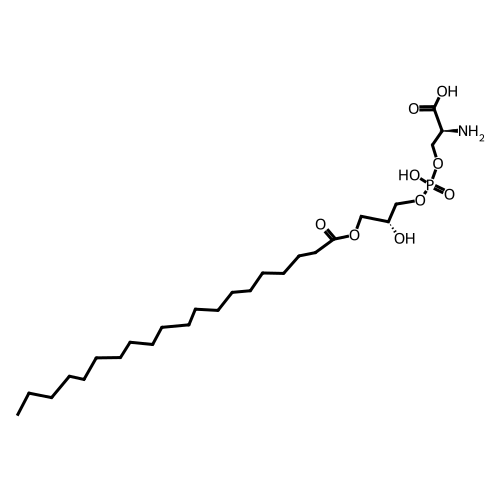 CCCCCCCCCCCCCCCCCCCC(=O)OC[C@@H](O)COP(=O)(O)OC[C@H](N)C(=O)O